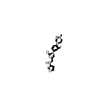 CN1CCN(c2ccc(N3CC(CNc4ccon4)OC3=O)cc2F)C=N1